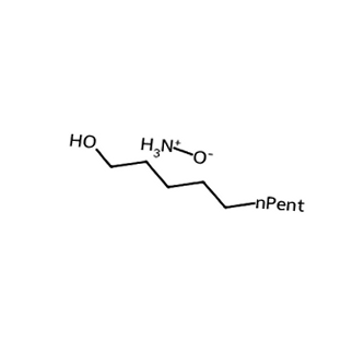 CCCCCCCCCCO.[NH3+][O-]